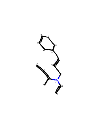 C=C=C(C)N(C=C)C/C=C/C1CC=CCC1